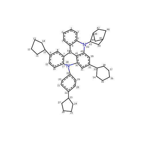 c1ccc2c(c1)B1c3cc(C4CCCC4)ccc3N(c3ccc(C4CCCC4)cc3)c3cc(C4CCCCC4)cc(c31)N2C1CC2CCC1C2